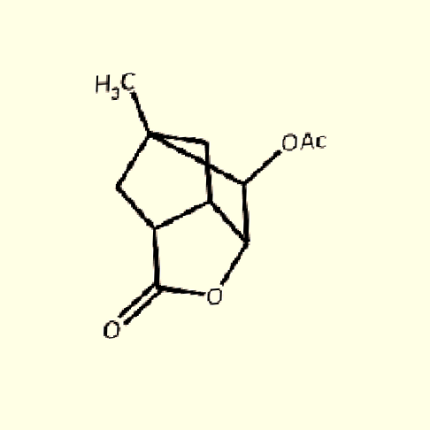 CC(=O)OC1C2OC(=O)C3CC1(C)CC32